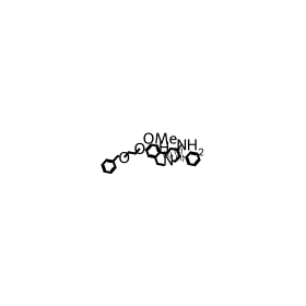 COc1cc2c(cc1OCCOCc1ccccc1)CCN1C[C@@H](c3ccccc3)[C@H](N)C[C@H]21